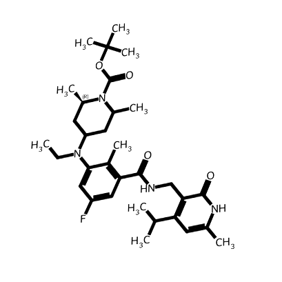 CCN(c1cc(F)cc(C(=O)NCc2c(C(C)C)cc(C)[nH]c2=O)c1C)C1CC(C)N(C(=O)OC(C)(C)C)[C@H](C)C1